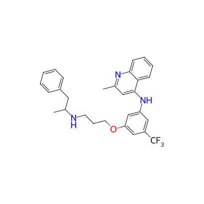 Cc1cc(Nc2cc(OCCCNC(C)Cc3ccccc3)cc(C(F)(F)F)c2)c2ccccc2n1